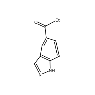 C[CH]C(=O)c1ccc2[nH]ncc2c1